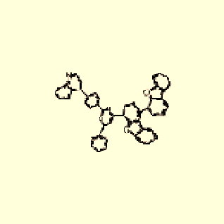 c1ccc(-c2cc(-c3ccc(-c4cccc5c4oc4ccccc45)c4c3oc3ccccc34)nc(-c3ccc(-c4ccnc5ccccc45)cc3)n2)cc1